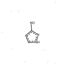 O=Nc1cc[nH]n1